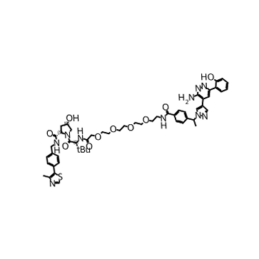 Cc1ncsc1-c1ccc(CNC(=O)[C@@H]2C[C@@H](O)CN2C(=O)[C@@H](NC(=O)COCCOCCOCCOCCNC(=O)c2ccc(C(C)n3cc(-c4cc(-c5ccccc5O)nnc4N)cn3)cc2)C(C)(C)C)cc1